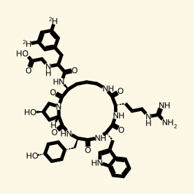 [2H]c1cc([2H])cc(CC(NCC(=O)O)C(=O)N[C@H]2CCCNC(=O)[C@H](CCCNC(=N)N)NC(=O)[C@H](Cc3c[nH]c4ccccc34)NC(=O)[C@@H](C[C@H]3CC[C@@H](O)CC3)NC(=O)[C@@H]3C[C@@H](O)CN3C2=O)c1